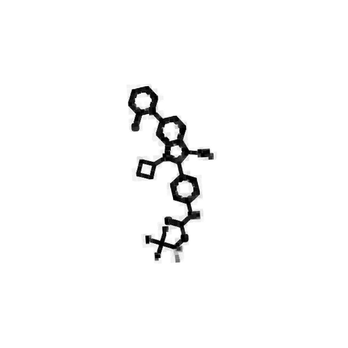 C[C@@H](OC(=O)Nc1ccc(-c2c(N)c3ccc(-n4ccccc4=O)cc3n2C2CCC2)cc1)C(F)(F)F